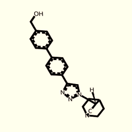 OCc1ccc(-c2ccc(-c3cn([C@H]4CN5CCC4CC5)nn3)cc2)cc1